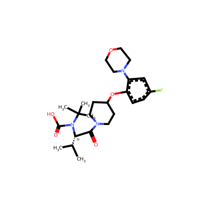 CC(C)[C@@H](C(=O)N1CCC(Oc2ccc(F)cc2N2CCOCC2)CC1)N(C(=O)O)C(C)(C)C